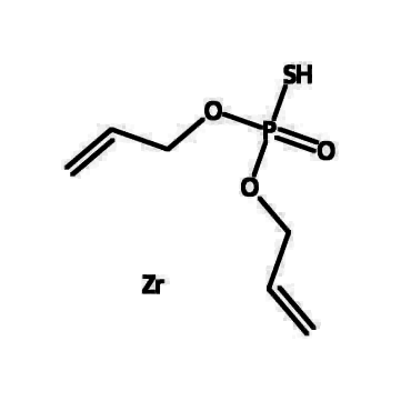 C=CCOP(=O)(S)OCC=C.[Zr]